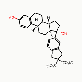 CCOC(=O)C1(C(=O)OCC)Cc2ccc([C@]3(O)CC[C@H]4[C@@H]5CCc6cc(O)ccc6[C@H]5CC[C@@]43C)cc2C1